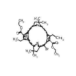 CCOC(=O)c1c(CC)c2cc3nc(c(Br)c4[nH]c(cc5nc(cc1[nH]2)CC5(C)C)c(CC)c4C(=O)OCC)CC3(C)C